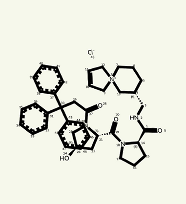 O=C(NC[C@H]1CCC[N+]2(CC=CC2)C1)[C@H]1CCCN1C(=O)[C@@H]1C[C@@H](O)CN1C(=O)CC(c1ccccc1)(c1ccccc1)c1ccccc1.[Cl-]